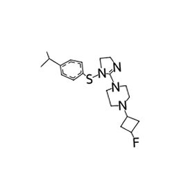 CC(C)c1ccc(SN2CCN=C2N2CCN(C3CC(F)C3)CC2)cc1